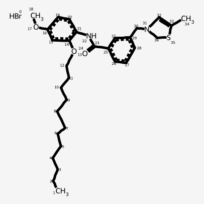 Br.CCCCCCCCCCCCOc1cc(OC)ccc1NC(=O)c1cccc(CN2C=C(C)SC2)c1